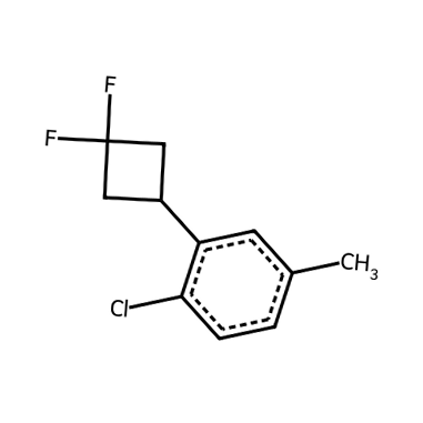 Cc1ccc(Cl)c(C2CC(F)(F)C2)c1